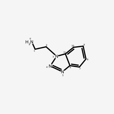 NCCn1nnc2ccccc21